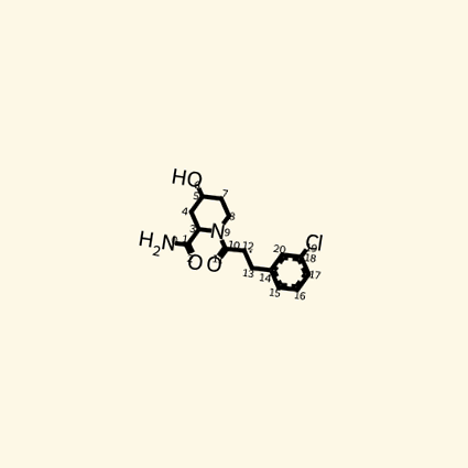 NC(=O)C1CC(O)CCN1C(=O)[CH]Cc1cccc(Cl)c1